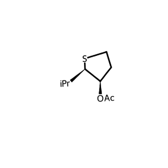 CC(=O)O[C@@H]1CCS[C@@H]1C(C)C